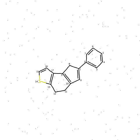 C1=C(c2ccccc2)CC2=C1CCc1sccc12